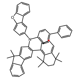 CC1(C)CCC(C)(C)c2c(-c3cc4c(cc3N(c3ccc(-c5ccccc5)cc3)c3ccc5oc6ccccc6c5c3)C(C)(C)c3ccccc3-4)cccc21